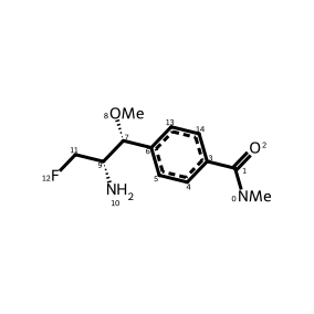 CNC(=O)c1ccc([C@@H](OC)[C@H](N)CF)cc1